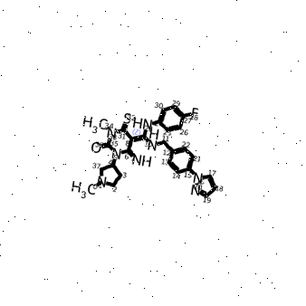 CN1CCC(N2C(=N)/C(=C(\NCc3ccc(-n4cccn4)cc3)Nc3ccc(F)cc3)C(=S)N(C)C2=O)C1